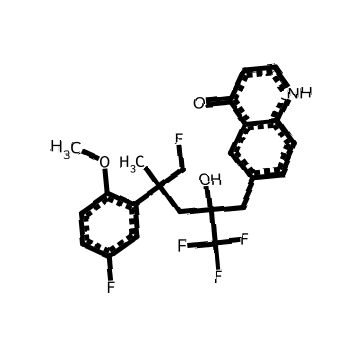 COc1ccc(F)cc1C(C)(CF)CC(O)(Cc1ccc2[nH]ccc(=O)c2c1)C(F)(F)F